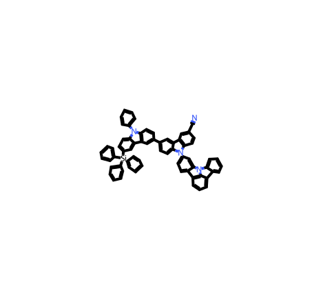 N#Cc1ccc2c(c1)c1cc(-c3ccc4c(c3)c3cc([Si](c5ccccc5)(c5ccccc5)c5ccccc5)ccc3n4-c3ccccc3)ccc1n2-c1ccc2c3cccc4c5ccccc5n(c2c1)c43